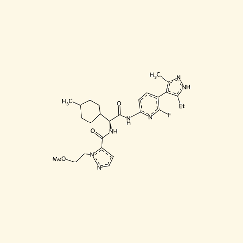 CCc1[nH]nc(C)c1-c1ccc(NC(=O)[C@@H](NC(=O)c2ccnn2CCOC)C2CCC(C)CC2)nc1F